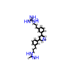 CC(=N)NCCCc1cccc(-c2cncc(-c3cccc(CCCNC(=N)N)c3)c2)c1